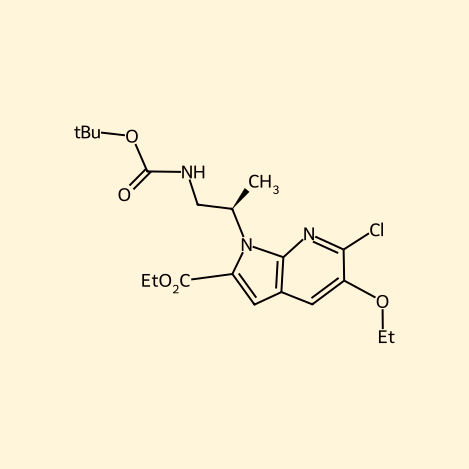 CCOC(=O)c1cc2cc(OCC)c(Cl)nc2n1[C@H](C)CNC(=O)OC(C)(C)C